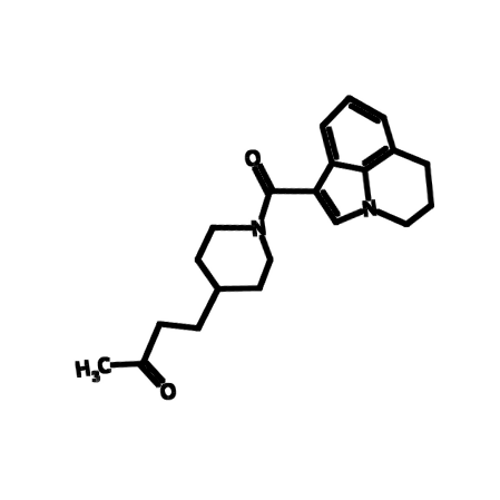 CC(=O)CCC1CCN(C(=O)c2cn3c4c(cccc24)CCC3)CC1